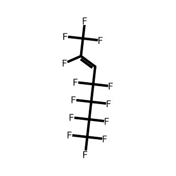 F/C(=C\C(F)(F)C(F)(F)C(F)(F)C(F)(F)F)C(F)(F)F